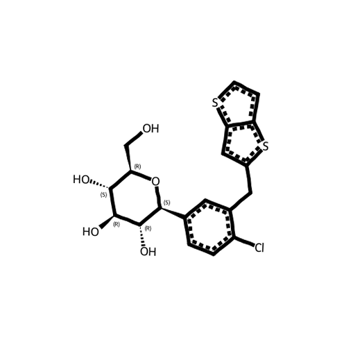 OC[C@H]1O[C@@H](c2ccc(Cl)c(Cc3cc4sccc4s3)c2)[C@H](O)[C@@H](O)[C@@H]1O